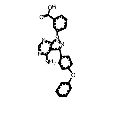 Nc1ncnc2c1c(-c1ccc(Oc3ccccc3)cc1)nn2-c1cccc(C(=O)O)c1